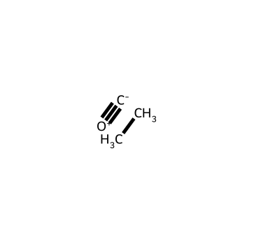 CC.[C-]#[O+]